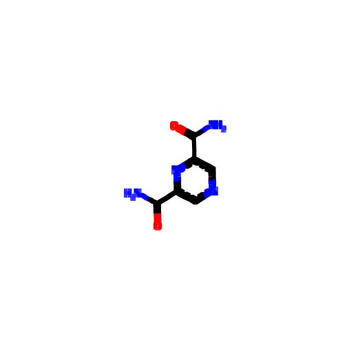 NC(=O)c1cncc(C(N)=O)n1